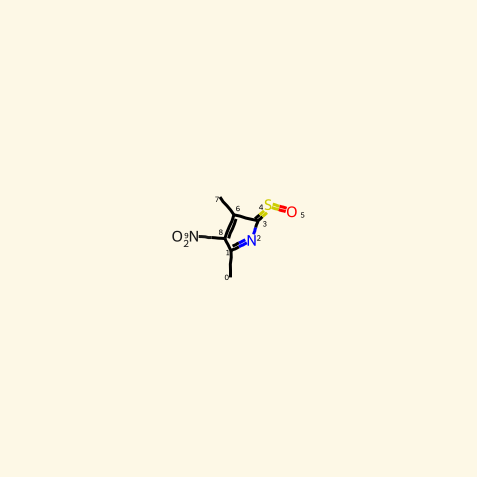 CC1=NC(=S=O)C(C)=C1[N+](=O)[O-]